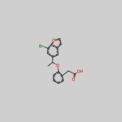 CC(Oc1ccccc1CC(=O)O)c1cc(Br)c2occc2c1